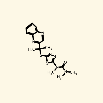 CN(C)C(=O)N(C)c1nnc(SC(C)(C)c2cnc3ccccc3n2)s1